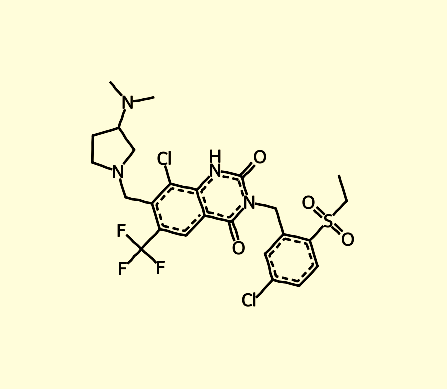 CCS(=O)(=O)c1ccc(Cl)cc1Cn1c(=O)[nH]c2c(Cl)c(CN3CCC(N(C)C)C3)c(C(F)(F)F)cc2c1=O